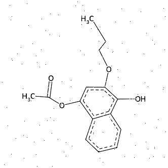 CCCOc1cc(OC(C)=O)c2ccccc2c1O